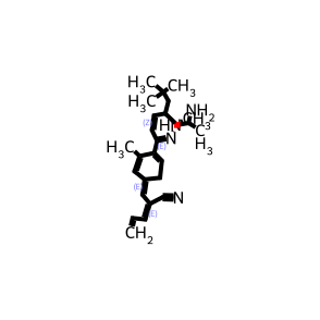 C=C/C=C(C#N)\C=C1\C=C(C)C(C(/C=C\C(CC(C)N)CC(C)(C)C)=N/NC)=CC1